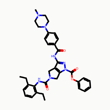 CCc1cccc(CC)c1NC(=O)N1Cc2c(NC(=O)c3ccc(N4CCN(C)CC4)cc3)nn(C(=O)Oc3ccccc3)c2C1